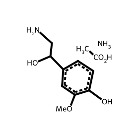 CC(=O)O.COc1cc(C(O)CN)ccc1O.N